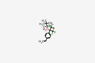 C=Cc1ccc(C(O[Si](C)(C)C(C)(C)C)(C(F)(F)F)C(F)(F)F)cc1